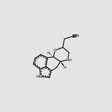 N#CCC1CN[C@@H]2Cc3c[nH]c4cccc(c34)[C@H]2O1